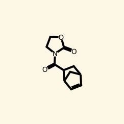 O=C1OCCN1C(=O)C1CC2C=CC1C2